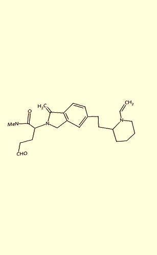 C=CN1CCCCC1CCc1ccc2c(c1)CN(C(CCC=O)C(=O)NC)C2=C